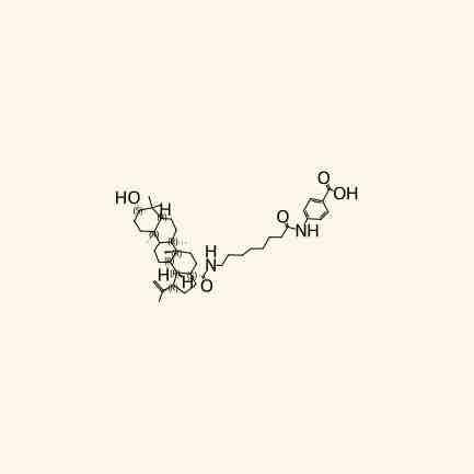 C=C(C)[C@@H]1CC[C@]2(C(=O)NCCCCCCCC(=O)Nc3ccc(C(=O)O)cc3)CC[C@]3(C)[C@H](CCC4[C@@]5(C)CC[C@H](O)C(C)(C)[C@@H]5CC[C@]43C)[C@@H]12